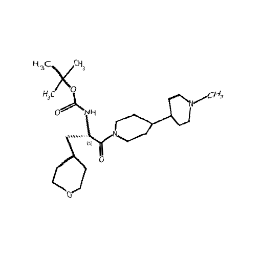 CN1CCC(C2CCN(C(=O)[C@H](CC3CCOCC3)NC(=O)OC(C)(C)C)CC2)CC1